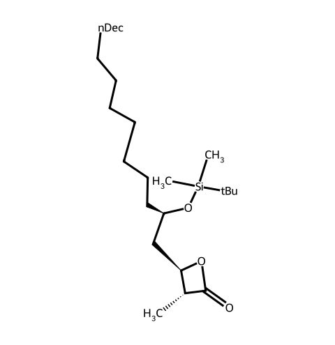 CCCCCCCCCCCCCCCCC[C@H](C[C@H]1OC(=O)[C@@H]1C)O[Si](C)(C)C(C)(C)C